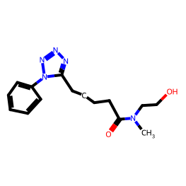 CN(CCO)C(=O)CCCCc1nnnn1-c1ccccc1